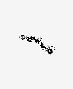 Nc1ccccc1NC(=O)c1ccc(Nc2ncc(-c3cnc4c(CN5CCOCC5)cccn34)s2)s1